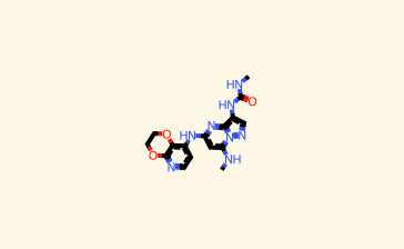 CNC(=O)Nc1cnn2c(NC)cc(Nc3ccnc4c3OCCO4)nc12